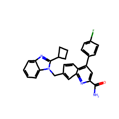 NC(=O)c1cc(-c2ccc(F)cc2)c2ccc(Cn3c(C4CCC4)nc4ccccc43)cc2n1